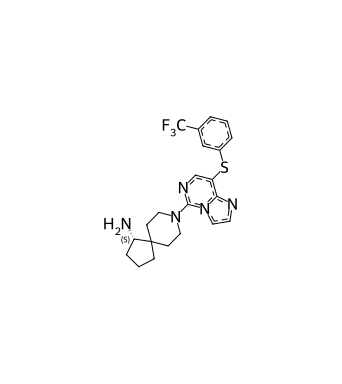 N[C@H]1CCCC12CCN(c1ncc(Sc3cccc(C(F)(F)F)c3)c3nccn13)CC2